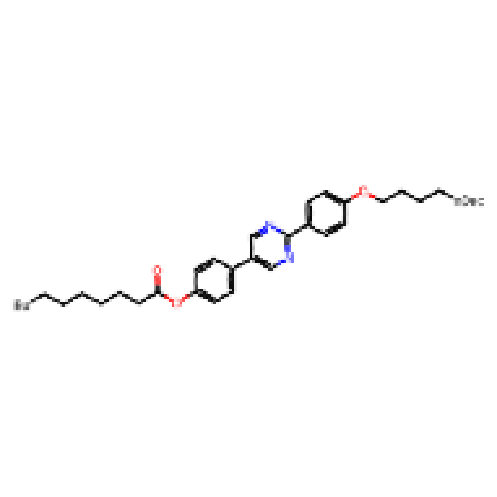 CCCCCCCCCCCCCCOc1ccc(-c2ncc(-c3ccc(OC(=O)CCCCCCC(C)CC)cc3)cn2)cc1